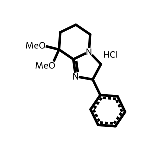 COC1(OC)CCCN2CC(c3ccccc3)N=C21.Cl